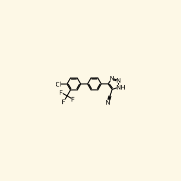 N#Cc1[nH]nnc1-c1ccc(-c2ccc(Cl)c(C(F)(F)F)c2)cc1